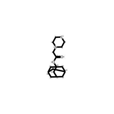 O=C(CN1CCSCC1)OC12CC3CC(CC(C3)C1)C2